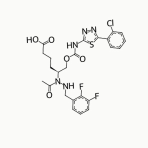 CC(=O)N(NCc1cccc(F)c1F)[C@@H](CCCC(=O)O)COC(=O)Nc1nnc(-c2ccccc2Cl)s1